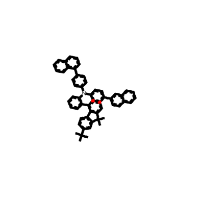 CC(C)(C)c1ccc2c(c1)C(C)(C)c1cccc(-c3ccccc3N(c3ccc(-c4ccc5ccccc5c4)cc3)c3ccc(-c4cccc5ccccc45)cc3)c1-2